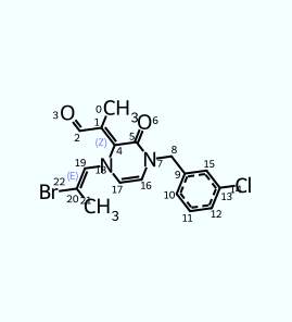 C/C(C=O)=C1\C(=O)N(Cc2cccc(Cl)c2)C=CN1/C=C(\C)Br